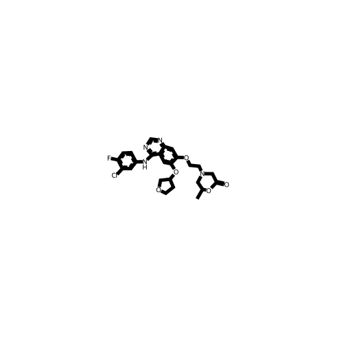 CC1CN(CCOc2cc3ncnc(Nc4ccc(F)c(Cl)c4)c3cc2OC2CCOC2)CC(=O)O1